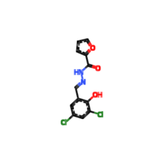 O=C(N/N=C/c1cc(Cl)cc(Cl)c1O)c1ccco1